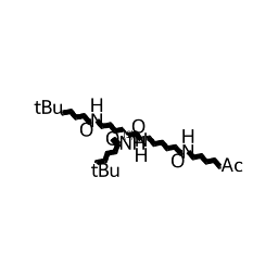 CC(=O)CCCCCNC(=O)CCCCCNC(=O)[C@H](CCCCNC(=O)CCCCC(C)(C)C)NC(=O)CCCCC(C)(C)C